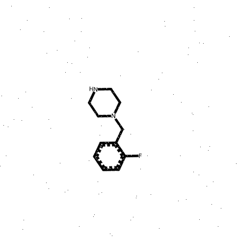 Fc1ccccc1[CH]N1CCNCC1